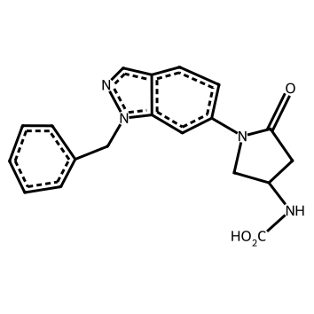 O=C(O)NC1CC(=O)N(c2ccc3cnn(Cc4ccccc4)c3c2)C1